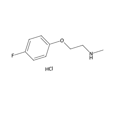 CNCCOc1ccc(F)cc1.Cl